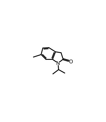 Cc1ccc2c(c1)N(C(C)C)C(=O)C2